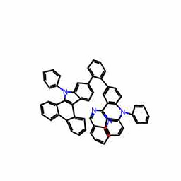 c1ccc(N(c2ccccc2)c2ccc(-c3ccccc3-c3ccc4c5c6ccccc6c6ccccc6c5n(-c5ccccc5)c4c3)cc2-c2ncc3ccccc3n2)cc1